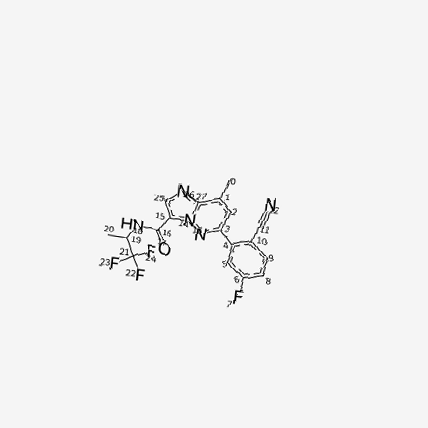 Cc1cc(-c2cc(F)ccc2C#N)nn2c(C(=O)NC(C)C(F)(F)F)cnc12